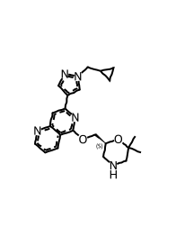 CC1(C)CNC[C@@H](COc2nc(-c3cnn(CC4CC4)c3)cc3ncccc23)O1